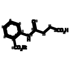 CCOC(=O)c1ccccc1NC(=O)CCC(=O)O